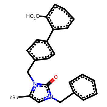 CCCCc1cn(Cc2ccccc2)c(=O)n1Cc1ccc(-c2ccccc2C(=O)O)cc1